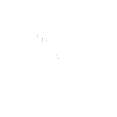 CCNCC1CN(C(c2ccccc2)c2ccccc2)C1